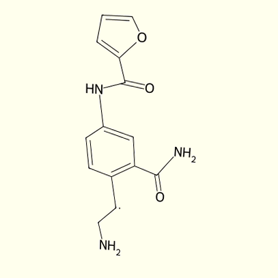 NC[CH]c1ccc(NC(=O)c2ccco2)cc1C(N)=O